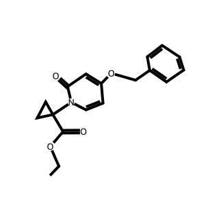 CCOC(=O)C1(n2ccc(OCc3ccccc3)cc2=O)CC1